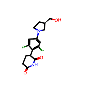 O=C1CCC(c2c(F)cc(N3CC[C@@H](CO)C3)cc2F)C(=O)N1